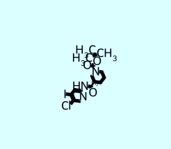 CC(C)(C)OC(=O)N1CCC[C@@H](C(=O)Nc2cc(I)c(Cl)cn2)C1